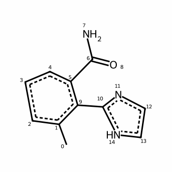 Cc1cccc(C(N)=O)c1-c1ncc[nH]1